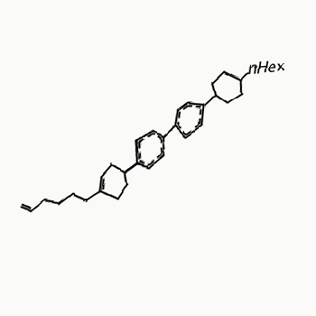 C=CCCCCC1=CCC(c2ccc(-c3ccc(C4CCC(CCCCCC)CC4)cc3)cc2)CC1